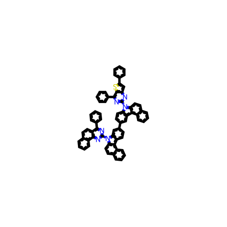 c1ccc(-c2cc3nc(-n4c5ccc(-c6ccc7c8c9ccccc9ccc8n(-c8nc(-c9ccccc9)c9ccc%10ccccc%10c9n8)c7c6)cc5c5c6ccccc6ccc54)nc(-c4ccccc4)c3s2)cc1